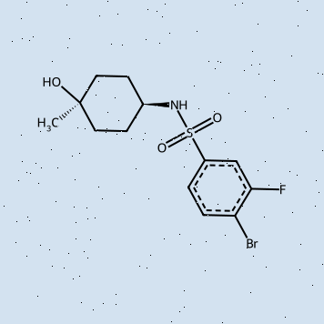 C[C@]1(O)CC[C@@H](NS(=O)(=O)c2ccc(Br)c(F)c2)CC1